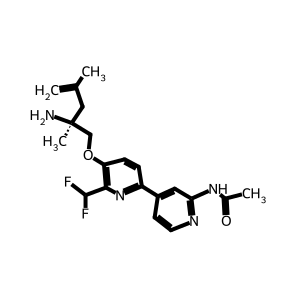 C=C(C)C[C@](C)(N)COc1ccc(-c2ccnc(NC(C)=O)c2)nc1C(F)F